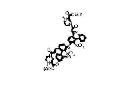 COC(=O)C1CN(C(=O)/C=C/c2ccc(Sc3ccc(/C=C/C(=O)N4CCN(C)C(C(=O)OC)C4)c(-c4ccccc4C(C)C)c3[N+](=O)[O-])c([N+](=O)[O-])c2-c2ccccc2C(C)C)CCN1C